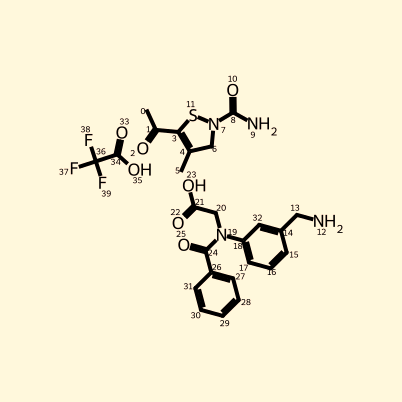 CC(=O)C1=C(C)CN(C(N)=O)S1.NCc1cccc(N(CC(=O)O)C(=O)c2ccccc2)c1.O=C(O)C(F)(F)F